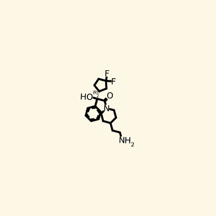 NCCC1CCN(C(=O)C(O)(c2ccccc2)[C@@H]2CCC(F)(F)C2)CC1